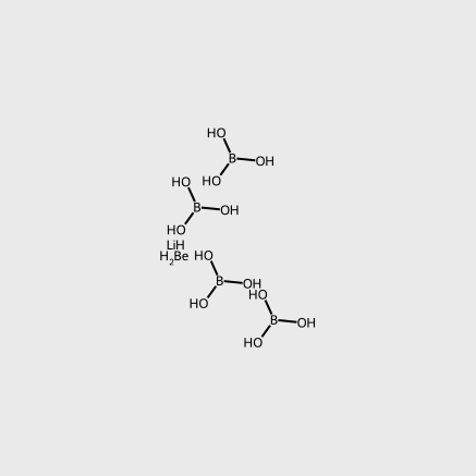 OB(O)O.OB(O)O.OB(O)O.OB(O)O.[BeH2].[LiH]